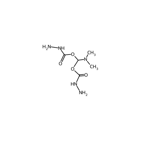 CN(C)C(OC(=O)NN)OC(=O)NN